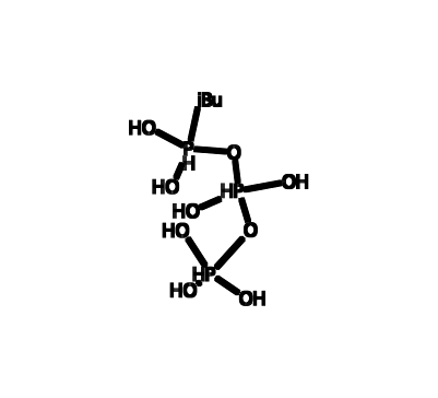 CCC(C)[PH](O)(O)O[PH](O)(O)O[PH](O)(O)O